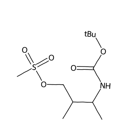 CC(COS(C)(=O)=O)C(C)NC(=O)OC(C)(C)C